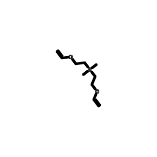 C=COCC[Si](C)(C)CCOC=C